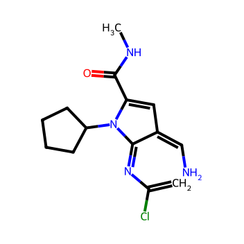 C=C(Cl)/N=C1\C(=C/N)C=C(C(=O)NC)N1C1CCCC1